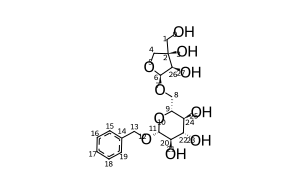 OC[C@@]1(O)CO[C@H](OC[C@H]2O[C@@H](OCc3ccccc3)[C@H](O)[C@@H](O)[C@@H]2O)[C@@H]1O